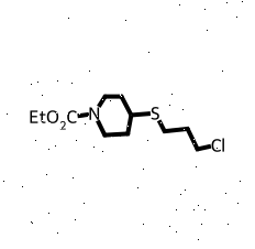 CCOC(=O)N1CCC(SCCCCl)CC1